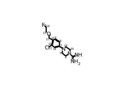 N=C(N)N1CCN(c2ccc(COCCF)c(Cl)c2)CC1